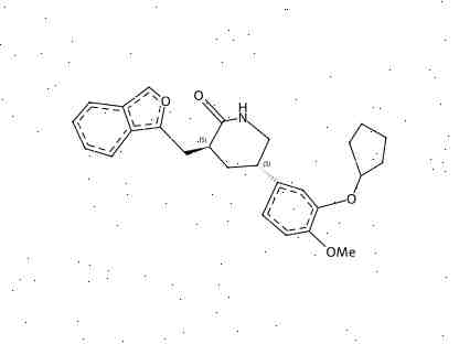 COc1ccc([C@H]2CNC(=O)[C@H](Cc3occ4ccccc34)C2)cc1OC1CCCC1